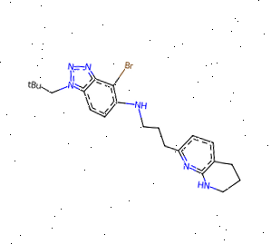 CC(C)(C)Cn1nnc2c(Br)c(NCCCc3ccc4c(n3)NCCC4)ccc21